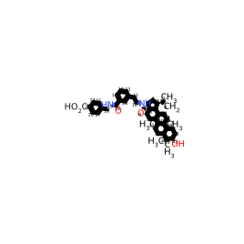 C=C(C)[C@@H]1CC[C@]2(C(=O)NCCc3cccc(C(=O)NCc4ccc(C(=O)O)cc4)c3)CC[C@]3(C)C(CCC4[C@@]5(C)CC[C@H](O)C(C)(C)C5CC[C@]43C)C12